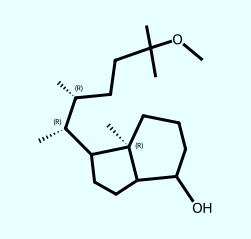 COC(C)(C)CC[C@@H](C)[C@@H](C)C1CCC2C(O)CCC[C@@]21C